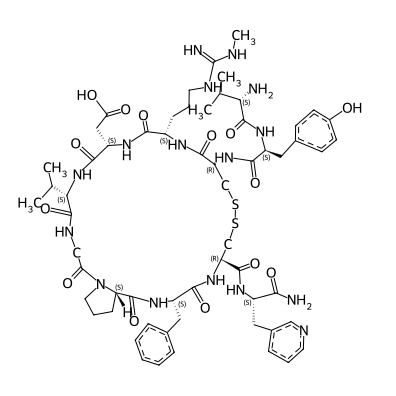 CNC(=N)NCCC[C@@H]1NC(=O)[C@@H](NC(=O)[C@H](Cc2ccc(O)cc2)NC(=O)[C@@H](N)C(C)C)CSSC[C@@H](C(=O)N[C@@H](Cc2cccnc2)C(N)=O)NC(=O)[C@H](Cc2ccccc2)NC(=O)[C@@H]2CCCN2C(=O)CNC(=O)[C@H](C(C)C)NC(=O)[C@H](CC(=O)O)NC1=O